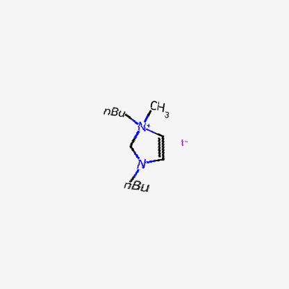 CCCCN1C=C[N+](C)(CCCC)C1.[I-]